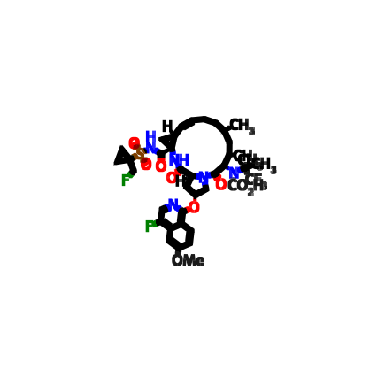 COc1ccc2c(O[C@@H]3C[C@H]4C(=O)N[C@]5(C(=O)NS(=O)(=O)C6(CF)CC6)C[C@H]5C=CCC[C@@H](C)C[C@@H](C)[C@H](N(C(=O)O)C(C)(C)C(F)(F)F)C(=O)N4C3)ncc(F)c2c1